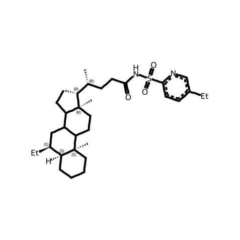 CCc1ccc(S(=O)(=O)NC(=O)CC[C@@H](C)[C@H]2CCC3C4C[C@H](CC)[C@@H]5CCCC[C@]5(C)C4CC[C@@]32C)nc1